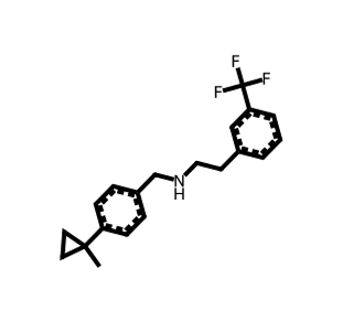 CC1(c2ccc(CNCCc3cccc(C(F)(F)F)c3)cc2)CC1